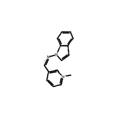 C[n+]1cccc(/C=N\n2ccc3ccccc32)c1